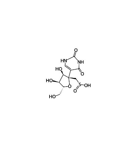 O=c1[nH]cc([C@]2(CS(=O)O)O[C@H](CO)[C@@H](O)[C@H]2O)c(=O)[nH]1